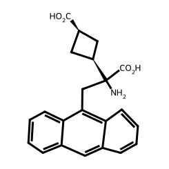 NC(Cc1c2ccccc2cc2ccccc12)(C(=O)O)[C@H]1C[C@@H](C(=O)O)C1